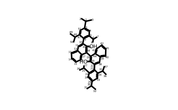 CC(C)c1cc(C(C)C)c(-c2cc3ccccc3c(-c3c(O)c(-c4c(C(C)C)cc(C(C)C)cc4C(C)C)cc4ccccc34)c2O)c(C(C)C)c1